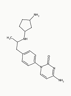 CC(Cc1ccc(-n2ccc(N)nc2=O)cc1)NC1CCC(N)C1